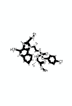 CCOCc1nc2c(N)nc3ccccc3c2n1[C@H](C)COP(=O)(N[C@@H](C)C(=O)OC(C)C)Oc1ccc(Cl)cc1